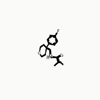 CC(C)C(=O)NCC1(c2ccc(F)cc2)CCOCC1